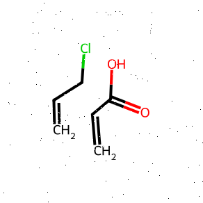 C=CC(=O)O.C=CCCl